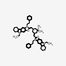 CCn1c2c(c3cc4c(cc31)OC(=CC1CC(=Cc3oc5cc6c(cc5[n+]3CCc3ccccc3)c3c(n6CC)CCCC3)CC(C)(C)C1)N4CCc1ccccc1)CCCC2